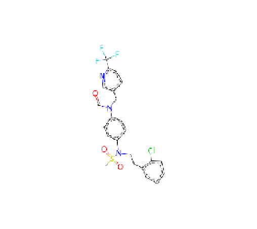 CS(=O)(=O)N(CCc1ccccc1Cl)c1ccc(N(C=O)Cc2ccc(C(F)(F)F)nc2)cc1